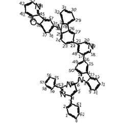 c1ccc(-c2cc(-n3c4ccccc4c4cc(-c5cncc(-c6ccc7c(c6)c6ccccc6n7-c6ccc7oc8cccnc8c7c6)c5)ccc43)nc(-c3ccccc3)n2)cc1